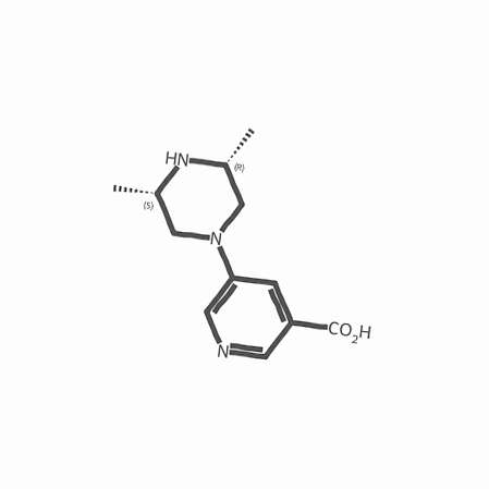 C[C@@H]1CN(c2cncc(C(=O)O)c2)C[C@H](C)N1